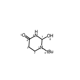 CC(C)(C)N1CCC(=O)NC1O